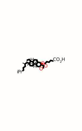 CC(C)CCC[C@@H](C)[C@H]1CC[C@H]2[C@@H]3CC=C4CC5(OC(=O)CCCCC(=O)O)CCOC5C[C@]4(C)[C@H]3CC[C@]12C